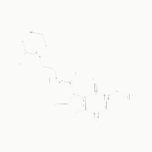 Cc1oc2ncn(CC(C)C)c(=O)c2c1C(=O)NCCN1CCCCC1C